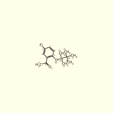 CC(=O)c1cc(F)ccc1O[Si](C)(C)C(C)(C)C